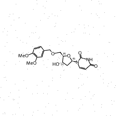 COc1ccc(COC[C@H]2O[C@@H](n3ccc(=O)[nH]c3=O)C[C@@H]2O)cc1OC